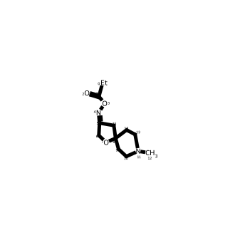 CCC(=O)ON=C1COC2(CCN(C)CC2)C1